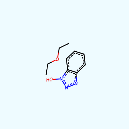 CCOCC.On1nnc2ccccc21